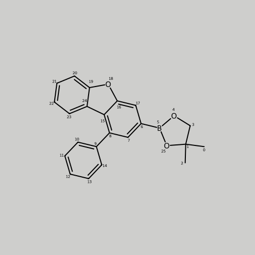 CC1(C)COB(c2cc(-c3ccccc3)c3c(c2)oc2ccccc23)O1